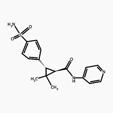 CC1(C)[C@H](C(=O)Nc2ccncc2)[C@H]1c1ccc(S(N)(=O)=O)cc1